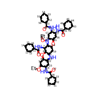 CCOc1cc2oc3c(NC(=O)c4ccccc4)c4c(cc3[nH]c2cc1NC(=O)c1ccccc1)oc1cc(NC(=O)c2ccccc2)c(NC(=O)c2ccccc2)cc1n4OCC